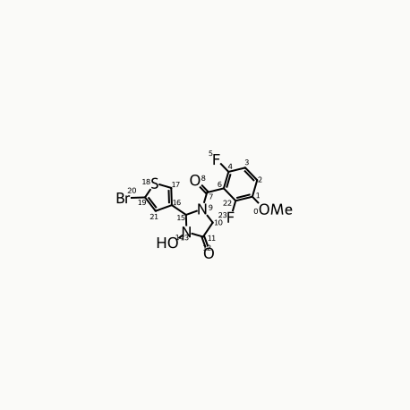 COc1ccc(F)c(C(=O)N2CC(=O)N(O)C2c2csc(Br)c2)c1F